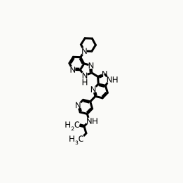 C=C(CC)Nc1cncc(-c2ccc3[nH]nc(-c4nc5c(N6CCCCC6)ccnc5[nH]4)c3n2)c1